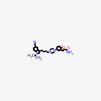 CC(C)n1cc(CCCCN2CCN(c3ccc4oc(C(N)=O)cc4c3)CC2)c2cc(C#N)ccc21